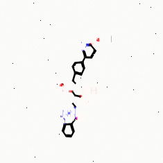 COc1ccc(-c2ccc(CC[C@@H](OC=O)[C@@H](CCn3nnc4ccccc4c3=O)C(=O)O)cc2)cn1